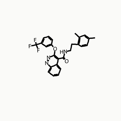 Cc1ccc(CCNC(=O)c2c(Oc3cccc(C(F)(F)F)c3)nnc3ccccc23)c(C)c1